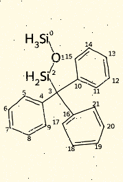 [SiH3]O[SiH2]C(c1ccccc1)(c1ccccc1)c1ccccc1